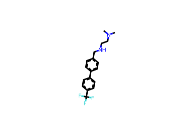 CN(C)CCNCc1ccc(-c2ccc(C(F)(F)F)cc2)cc1